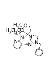 CCC(=O)N(CC1(N2CCN(Cc3ccccc3)CC2)CCOC(C)(C)C1)c1ncccc1C#N